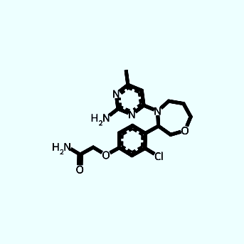 Cc1cc(N2CCCOCC2c2ccc(OCC(N)=O)cc2Cl)nc(N)n1